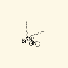 CCCCCCCCc1sc[n+](CC(=O)N2CCCCCC2)c1CCCCCCCC.[Br-]